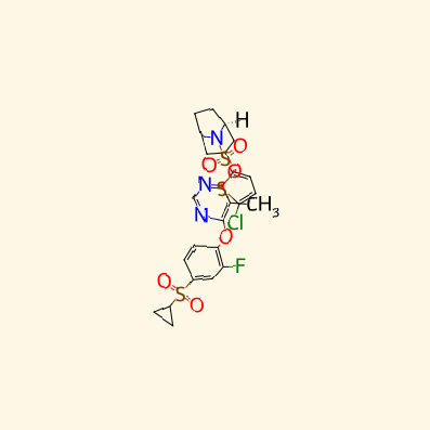 Cc1c(Oc2ccc(S(=O)(=O)C3CC3)cc2F)ncnc1OC1CC2CC[C@@H](C1)N2S(=O)(=O)c1ccc(Cl)s1